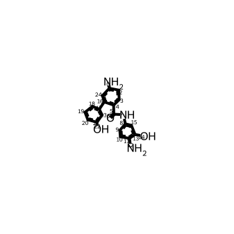 Nc1ccc(C(=O)Nc2ccc(N)c(O)c2)c(-c2cccc(O)c2)c1